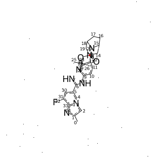 Cc1cn2cc(C(=N)Nc3ccc(N4CC5CCC(C4)N5C(=O)OC(C)(C)C)cn3)cc(F)c2n1